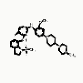 COc1cc(N2CCC(N3CCN(C)CC3)CC2)ccc1Nc1ncc(F)c(Nc2cccc3c2N(S(C)(=O)=O)CC3)n1